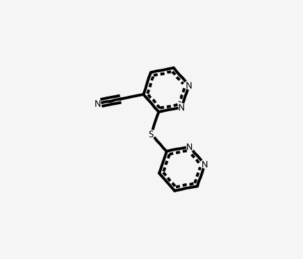 N#Cc1ccnnc1Sc1cccnn1